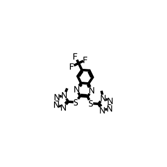 Cn1nnnc1Sc1nc2ccc(C(F)(F)F)cc2nc1Sc1nnnn1C